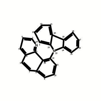 c1cnc2c(c1)ccc1cccc(-n3c4ccccc4c4ccccc43)c12